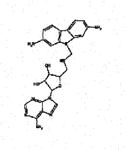 Nc1ccc2c3ccc(N)cc3n(CNCC3OC(n4cnc5c(N)ncnc54)C(O)C3O)c2c1